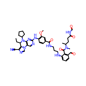 CCC1c2c(C#N)ncn2-c2cnc(Nc3ccc(C(=O)NCCCNc4cccc(C=O)c4C(=O)N(C)C(C)CCC(=O)NC=O)cc3OC)nc2N1C1CCCC1